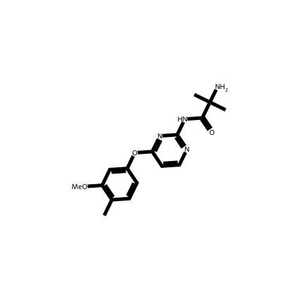 COc1cc(Oc2ccnc(NC(=O)C(C)(C)N)n2)ccc1C